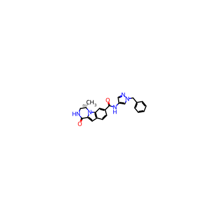 C[C@H]1CNC(=O)c2cc3ccc(C(=O)Nc4cnn(Cc5ccccc5)c4)cc3n21